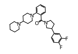 O=C(c1ccccc1N1CCC(N2CCCCC2)CC1)N1CCC(c2ccc(F)c(F)c2)C1